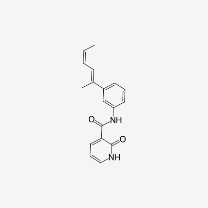 C/C=C\C=C(/C)c1cccc(NC(=O)c2ccc[nH]c2=O)c1